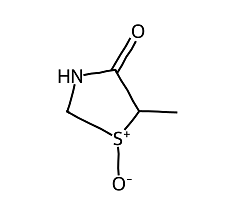 CC1C(=O)NC[S+]1[O-]